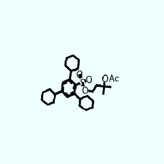 CC(=O)OC(C)(C)CCOS(=O)(=O)c1c(C2CCCCC2)cc(C2CCCCC2)cc1C1CCCCC1